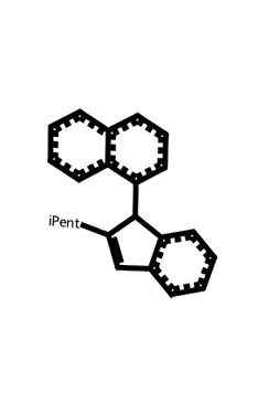 CCCC(C)C1=Cc2[c]cccc2C1c1cccc2ccccc12